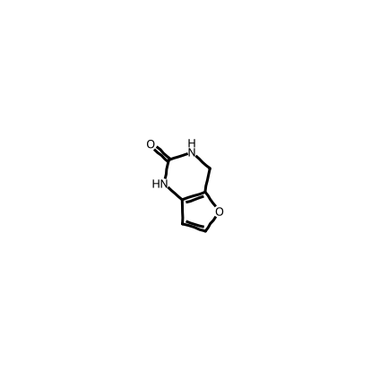 O=C1NCc2occc2N1